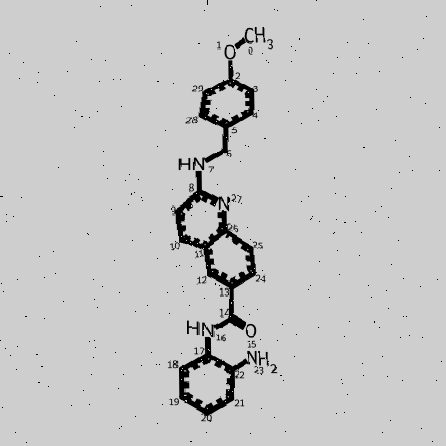 COc1ccc(CNc2ccc3cc(C(=O)Nc4ccccc4N)ccc3n2)cc1